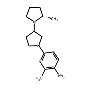 Cc1nc(N2CCC(N3CCC[C@@H]3C)C2)ccc1N